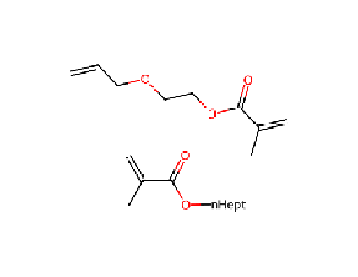 C=C(C)C(=O)OCCCCCCC.C=CCOCCOC(=O)C(=C)C